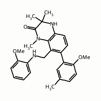 COc1ccccc1NCc1c(-c2cc(C)ccc2OC)ccc2c1N(C)C(=O)C(C)(C)N2